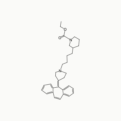 CCOC(=O)N1CCCC(CCCCN2CCC(=C3c4ccccc4C=Cc4ccccc43)CC2)C1